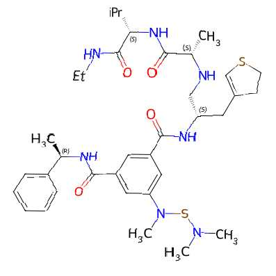 CCNC(=O)[C@@H](NC(=O)[C@H](C)NC[C@H](CC1=CSCC1)NC(=O)c1cc(C(=O)N[C@H](C)c2ccccc2)cc(N(C)SN(C)C)c1)C(C)C